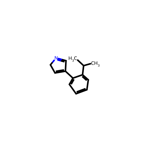 CC(C)c1ccccc1C1=CCN=C1